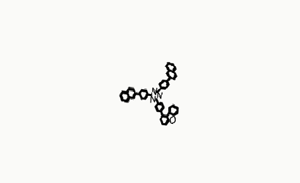 c1ccc2cc(-c3ccc(-c4nc(-c5ccc(-c6ccc7ccccc7c6)cc5)nc(-c5ccc(-c6cccc7oc8ccccc8c67)cc5)n4)cc3)ccc2c1